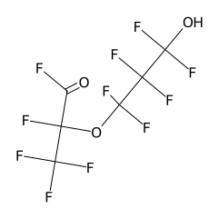 O=C(F)C(F)(OC(F)(F)C(F)(F)C(O)(F)F)C(F)(F)F